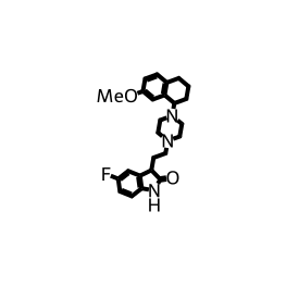 COc1ccc2c(c1)C(N1CCN(CCC3C(=O)Nc4ccc(F)cc43)CC1)CCC2